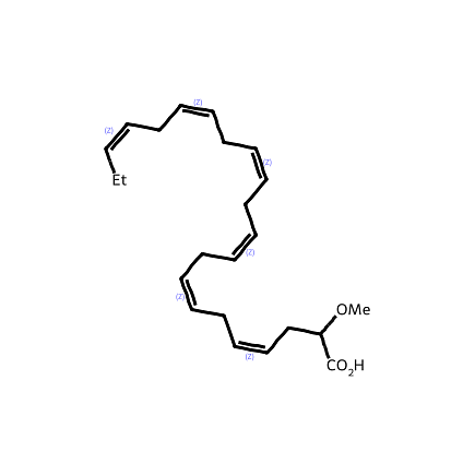 CC/C=C\C/C=C\C/C=C\C/C=C\C/C=C\C/C=C\CC(OC)C(=O)O